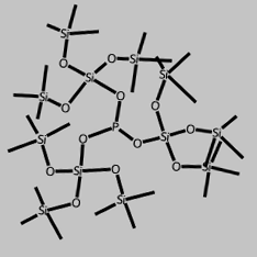 C[Si](C)(C)O[Si](OP(O[Si](O[Si](C)(C)C)(O[Si](C)(C)C)O[Si](C)(C)C)O[Si](O[Si](C)(C)C)(O[Si](C)(C)C)O[Si](C)(C)C)(O[Si](C)(C)C)O[Si](C)(C)C